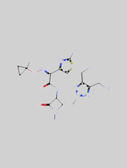 NCc1nn(C[C@H]2C(NC(=O)/C(=N\OC3(C(=O)O)CC3)c3csc(N)n3)C(=O)N2S(=O)(=O)O)nc1CN